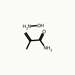 C=C(C)C(N)=O.NO